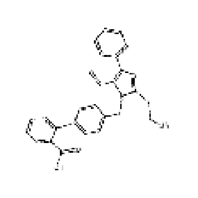 CCCc1nc(-c2ccccc2)c(C=O)n1Cc1ccc(-c2ccccc2C(=O)O)cc1